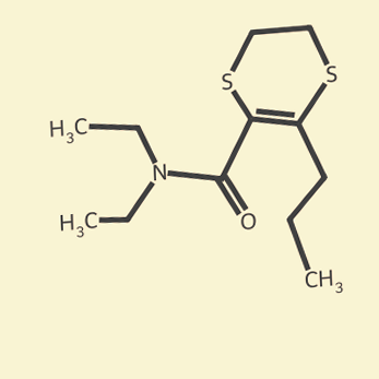 CCCC1=C(C(=O)N(CC)CC)SCCS1